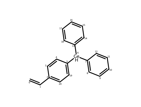 C=Cc1cc[c]([GeH]([c]2ccccc2)[c]2ccccc2)cc1